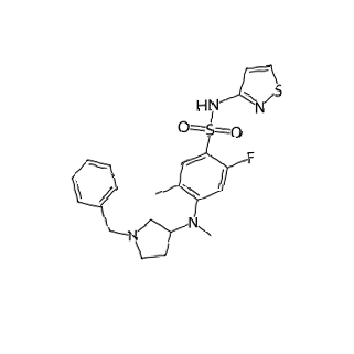 Cc1cc(S(=O)(=O)Nc2ccsn2)c(F)cc1N(C)C1CCN(Cc2ccccc2)C1